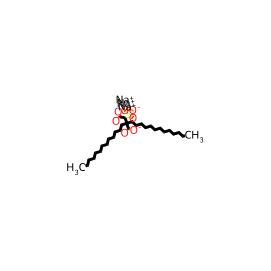 CCCCCCCCCCCCCC(CCCCCCCCCCCCC)(C(=O)[O-])C(C(=O)[O-])S(=O)(=O)[O-].[Na+].[Na+].[Na+]